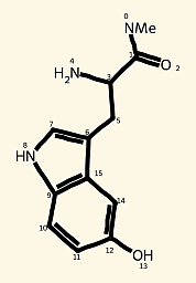 CNC(=O)C(N)Cc1c[nH]c2ccc(O)cc12